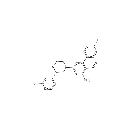 Cc1cc([C@H]2CN(c3nc(N)c(C=O)c(-c4ccc(F)cc4F)n3)CCO2)ccn1